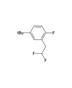 CC(C)(C)c1ccc(F)c(CC(F)F)c1